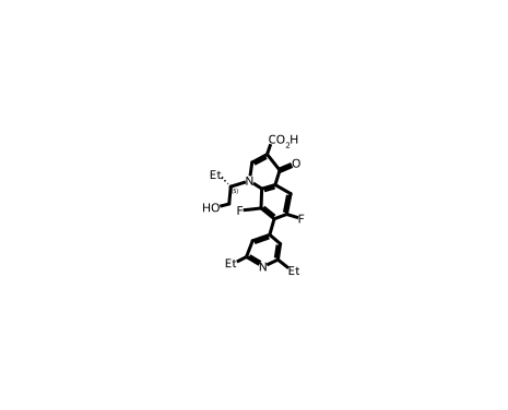 CCc1cc(-c2c(F)cc3c(=O)c(C(=O)O)cn([C@@H](CC)CO)c3c2F)cc(CC)n1